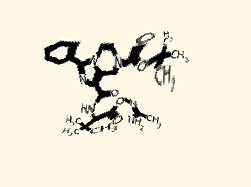 C/C(N)=N/OC(=O)[C@@H](NC(=O)c1nc(-c2ccccc2)n2c1CN(C(=O)OC(C)(C)C)CC2)C(C)(C)C